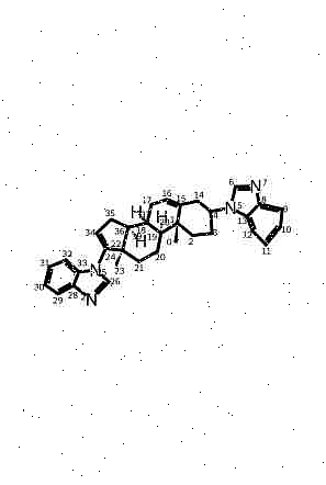 C[C@]12CCC(n3cnc4ccccc43)CC1=CC[C@@H]1[C@@H]2CC[C@]2(C)C(n3cnc4ccccc43)=CC[C@@H]12